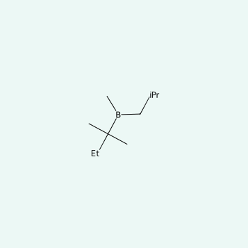 CCC(C)(C)B(C)CC(C)C